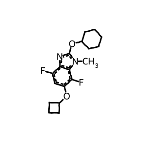 Cn1c(OC2CCCCC2)nc2c(F)cc(OC3CCC3)c(F)c21